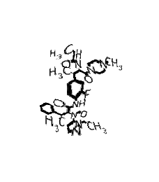 CCC(=O)N[C@@H](C(=O)N1CCN(C)CC1)[C@@H](C)c1ccc(NC(=O)[C@H]([C@H](C)c2ccccc2)N(C=O)c2ccnn2CC)c(F)c1